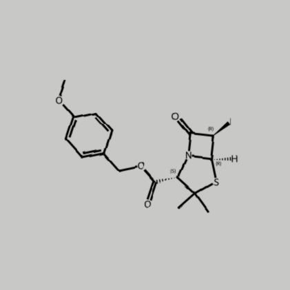 COc1ccc(COC(=O)[C@@H]2N3C(=O)[C@@H](I)[C@H]3SC2(C)C)cc1